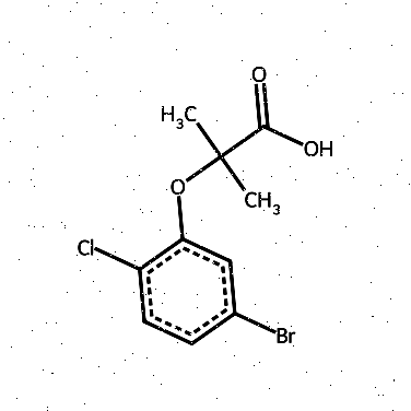 CC(C)(Oc1cc(Br)ccc1Cl)C(=O)O